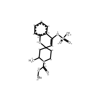 CC1CC2(C=C(OS(=O)(=O)C(F)(F)F)c3ccccc3O2)CCN1C(=O)OC(C)(C)C